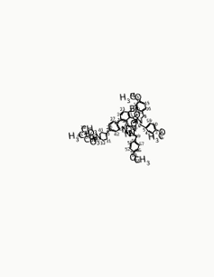 COc1ccc(CN(Cc2ccc(OC)cc2)S(=O)(=O)c2c(Br)ccc(-c3ccc(C4CCN(C(=O)OC(C)(C)C)C4)cc3)c2-c2nnn(Cc3ccc(OC)cc3)n2)cc1